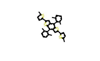 Cc1ccc(-c2cc3c(-c4c(C)cccc4C)c4sc(-c5ccc(C)s5)cc4c(-c4c(C)cccc4C)c3s2)s1